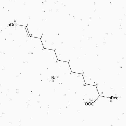 CCCCCCCCC=CCCCCCCCCCC(CCCCCCCCCC)C(=O)[O-].[Na+]